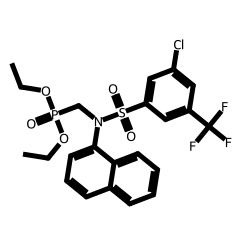 CCOP(=O)(CN(c1cccc2ccccc12)S(=O)(=O)c1cc(Cl)cc(C(F)(F)F)c1)OCC